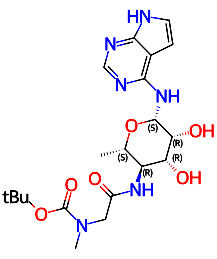 C[C@@H]1O[C@H](Nc2ncnc3[nH]ccc23)[C@H](O)[C@H](O)[C@H]1NC(=O)CN(C)C(=O)OC(C)(C)C